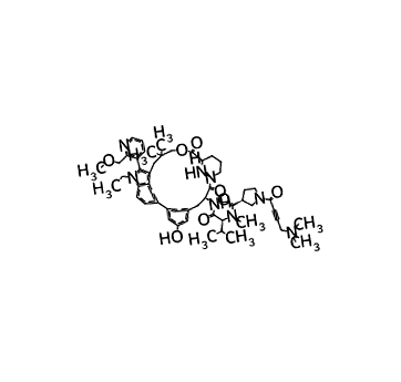 CCn1c(-c2cccnc2COC)c2c3cc(ccc31)-c1cc(O)cc(c1)C[C@H](NC(=O)[C@H](C(C)C)N(C)C(=O)[C@H]1CCN(C(=O)C#CCN(C)C)C1)C(=O)N1CCC[C@H](N1)C(=O)OCC(C)(C)C2